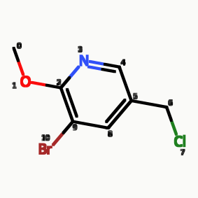 COc1ncc(CCl)cc1Br